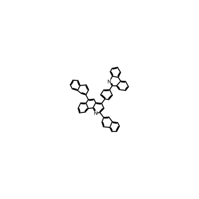 c1ccc2cc(-c3cc(-c4ccc(-c5nc6ccccc6c6ccccc56)cc4)c4cc(-c5ccc6ccccc6c5)c5ccccc5c4n3)ccc2c1